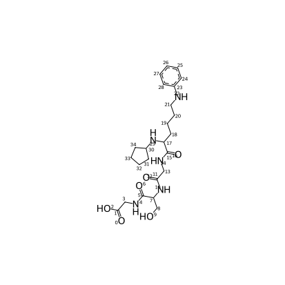 O=C(O)CNC(=O)C(CO)NC(=O)CNC(=O)C(CCCCNc1ccccc1)NC1CCCC1